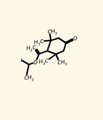 C=C(OC(C)I)C1C(C)(C)CC(=O)CC1(C)C